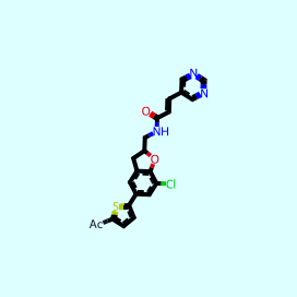 CC(=O)c1ccc(-c2cc(Cl)c3c(c2)CC(CNC(=O)C=Cc2cncnc2)O3)s1